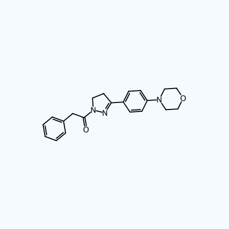 O=C(Cc1ccccc1)N1CCC(c2ccc(N3CCOCC3)cc2)=N1